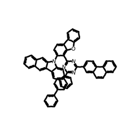 c1ccc(-c2ccc(-c3nc(-c4ccc5c(ccc6ccccc65)c4)nc(-c4c(-n5c6cc7ccccc7cc6c6cc7ccccc7cc65)ccc5c4oc4ccccc45)n3)cc2)cc1